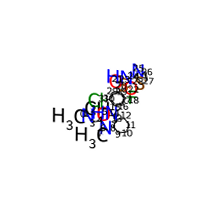 CN(C)CC(=O)N(C)[C@H]1CCCCC1Nc1cc(F)c(S(=O)(=O)Nc2nccs2)cc1Cl